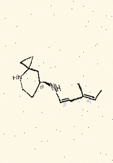 C/C=C(C)/C=C\N[C@H]1CCNC2(CC2)C1